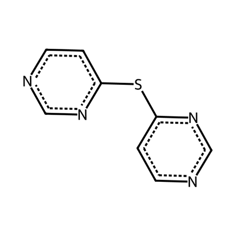 c1cc(Sc2ccncn2)ncn1